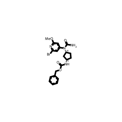 COc1cc(N(C(N)=O)[C@@H]2CC[C@H](NC(=O)OCc3ccccc3)C2)cc(Br)n1